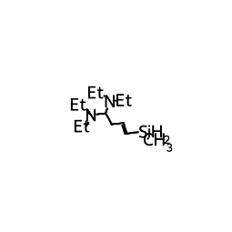 CCN(CC)C(CC=C[SiH2]C)N(CC)CC